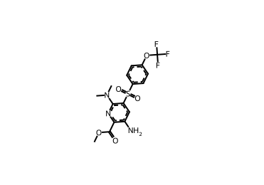 COC(=O)c1nc(N(C)C)c(S(=O)(=O)c2ccc(OC(F)(F)F)cc2)cc1N